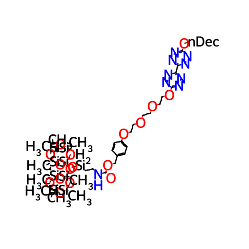 CCCCCCCCCCOc1nnc(-c2nnc(OCCOCCOCCOc3ccc(COC(=O)NCC[SiH2]O[Si]45O[SiH](C)O[Si](C)(C)O[Si](C)(C[Si]6(C)O[Si](C)(C)O[SiH](C)O[Si](C)(O6)O4)O5)cc3)nn2)nn1